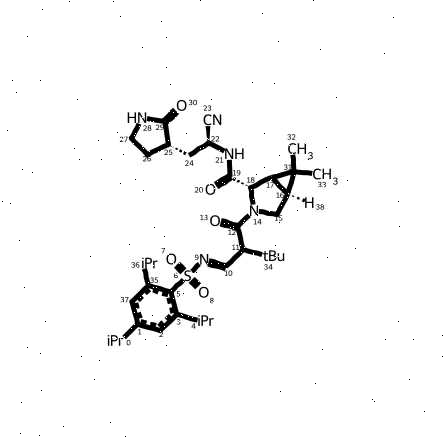 CC(C)c1cc(C(C)C)c(S(=O)(=O)N=CC(C(=O)N2C[C@H]3C([C@H]2C(=O)N[C@H](C#N)C[C@@H]2CCNC2=O)C3(C)C)C(C)(C)C)c(C(C)C)c1